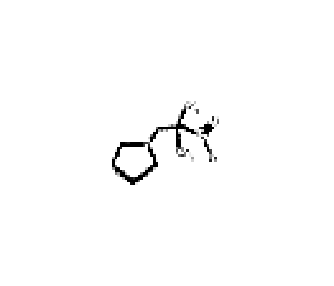 CC(C)(CN1CCCC1)[N+](=O)[O-]